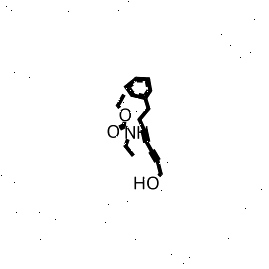 CCNC(=O)OCC.OCC#CC#CCCc1ccccc1